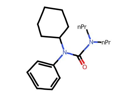 CCCN(CCC)C(=O)N(c1ccccc1)C1CCCCC1